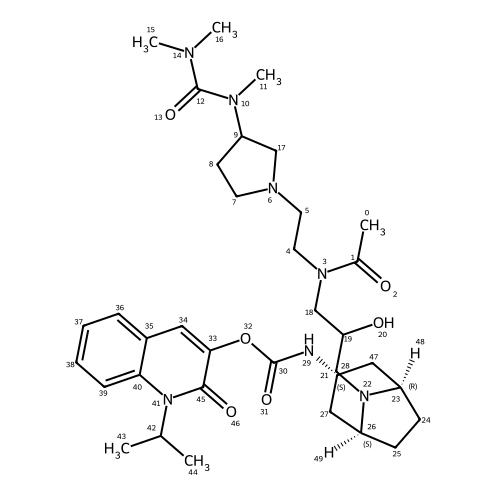 CC(=O)N(CCN1CCC(N(C)C(=O)N(C)C)C1)CC(O)CN1[C@@H]2CC[C@H]1C[C@H](NC(=O)Oc1cc3ccccc3n(C(C)C)c1=O)C2